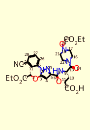 CCOC(=O)COc1cc(C(=O)N[C@@H](CCC(=O)O)C(=O)N2CCN(OC(=O)OCC)CC2)nn1-c1cccc(C#N)c1